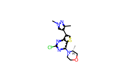 Cc1nn(C)cc1-c1csc2c(N3CCOC[C@H]3C)nc(Cl)nc12